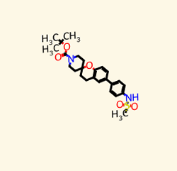 CC(C)(C)OC(=O)N1CCC2(CCc3cc(-c4ccc(NS(C)(=O)=O)cc4)ccc3O2)CC1